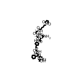 CCOCc1nc2c(NC(=O)OCc3ccc(NC(=O)[C@H](CC(N)=O)NC(=O)[C@H](C)NC(=O)[C@H](C)NC(=O)CCCCCN4C(=O)C=CC4=O)cc3)nc3ccccc3c2n1CC(C)(C)O